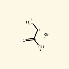 CCC(=O)O.[Rh]